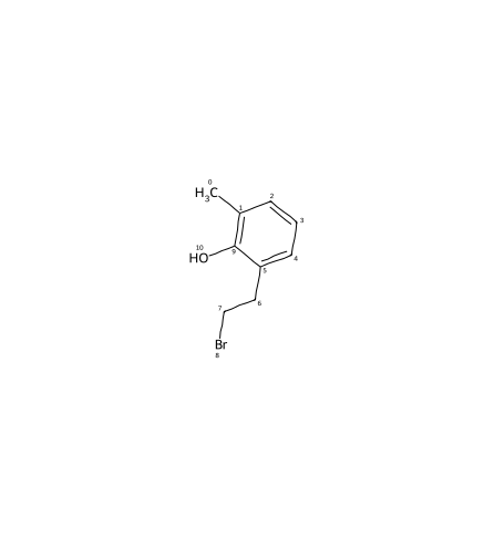 Cc1cccc(CCBr)c1O